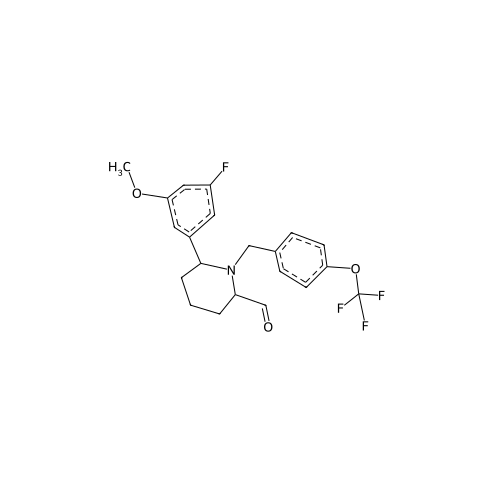 COc1cc(F)cc(C2CCCC(C=O)N2Cc2ccc(OC(F)(F)F)cc2)c1